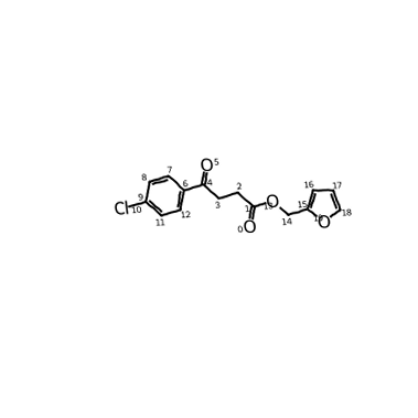 O=C(CCC(=O)c1ccc(Cl)cc1)OCc1ccco1